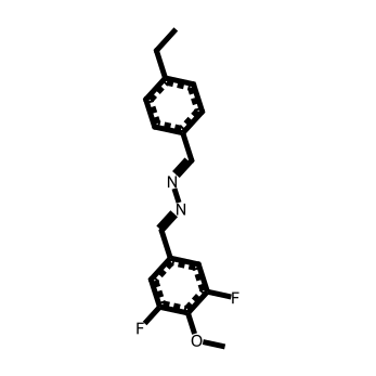 CCc1ccc(/C=N/N=C/c2cc(F)c(OC)c(F)c2)cc1